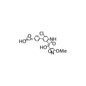 COc1cc(/C(O)=C2\C(=O)Nc3cc(Cl)c(-c4ccc([C@@H]5C[C@H](O)CO5)cc4)cc32)on1